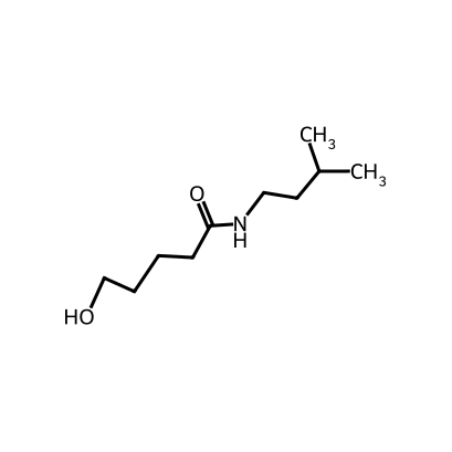 CC(C)CCNC(=O)CCCCO